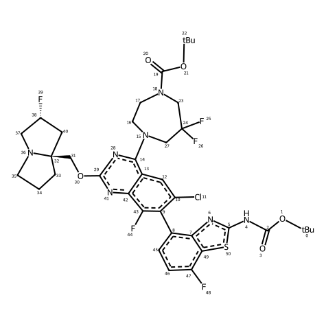 CC(C)(C)OC(=O)Nc1nc2c(-c3c(Cl)cc4c(N5CCN(C(=O)OC(C)(C)C)CC(F)(F)C5)nc(OC[C@@]56CCCN5C[C@H](F)C6)nc4c3F)ccc(F)c2s1